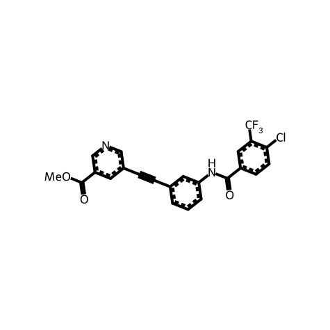 COC(=O)c1cncc(C#Cc2cccc(NC(=O)c3ccc(Cl)c(C(F)(F)F)c3)c2)c1